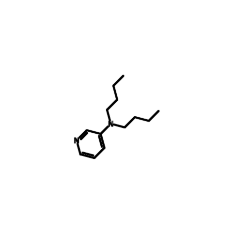 CCCCN(CCCC)c1cccnc1